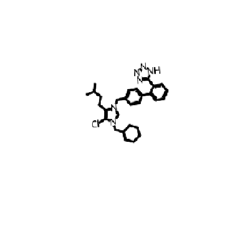 CC(C)CCC1=C(Cl)N(CC2CCCCC2)CN1Cc1ccc(-c2ccccc2-c2nnn[nH]2)cc1